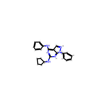 c1ccc(Nc2nc(NC3CCCC3)nc3c2cnn3-c2ccccc2)cc1